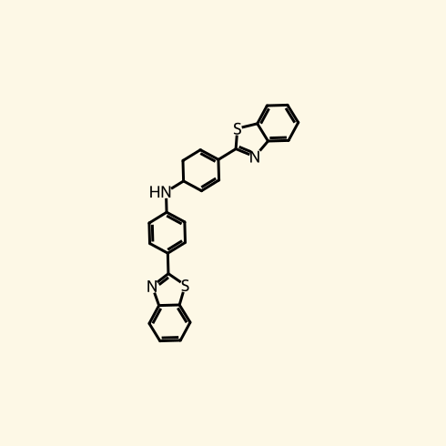 C1=CC(Nc2ccc(-c3nc4ccccc4s3)cc2)CC=C1c1nc2ccccc2s1